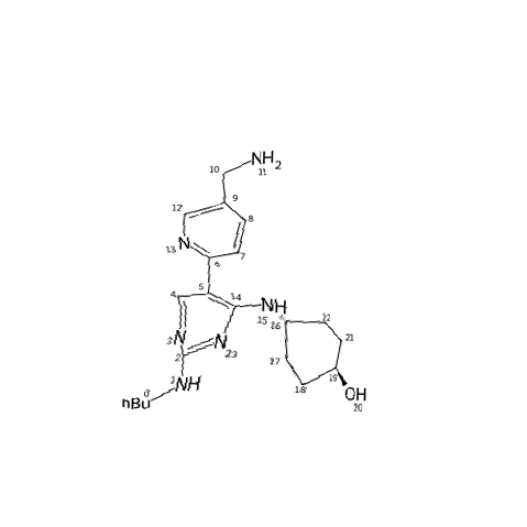 CCCCNc1ncc(-c2ccc(CN)cn2)c(N[C@H]2CC[C@H](O)CC2)n1